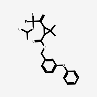 C=C(C1C(C(=O)OCc2cccc(Oc3ccccc3)c2)C1(C)C)C(F)(F)SC(C)Cl